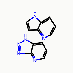 c1cnc2cc[nH]c2c1.c1cnc2nn[nH]c2c1